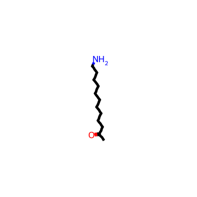 CC(=O)CCCCCCCCCCN